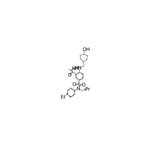 CCc1ccc(N(CC(C)C)S(=O)(=O)c2ccc(NCC3CCC(O)CC3)c(S(C)(=N)=O)c2)cc1